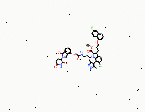 Cc1nn(C)c(C)c1-c1c(Cl)ccc2c(CCCOc3cccc4cc(F)ccc34)c(C(=O)OC(C)(C)C)n(CCCNC(=O)COc3cccc4c3CN(C3CCC(=O)NC3=O)C4=O)c12